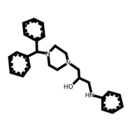 OC(CNc1ccccc1)CN1CCN(C(c2ccccc2)c2ccccc2)CC1